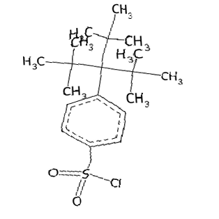 CC(C)(C)C(c1ccc(S(=O)(=O)Cl)cc1)(C(C)(C)C)C(C)(C)C